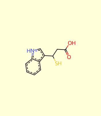 O=C(O)CC(S)c1c[nH]c2ccccc12